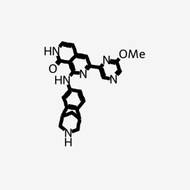 COc1cncc(-c2cc3cc[nH]c(=O)c3c(Nc3ccc4c(c3)C3CNCC4C3)n2)n1